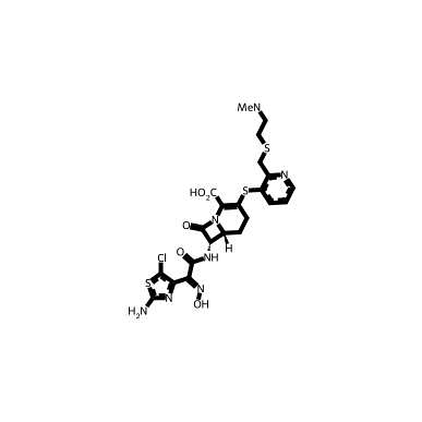 CNCCSCc1ncccc1SC1=C(C(=O)O)N2C(=O)[C@@H](NC(=O)C(=NO)c3nc(N)sc3Cl)[C@H]2CC1